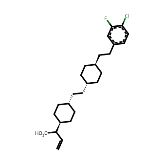 C=CC(C(=O)O)[C@H]1CC[C@H](CC[C@H]2CC[C@H](CCc3ccc(Cl)c(F)c3)CC2)CC1